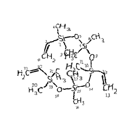 C=C[Si](C)(C)O[Si](C)(C)O[Si](C)(C=C)O[Si](C)(C)O[Si](C)(C)C=C